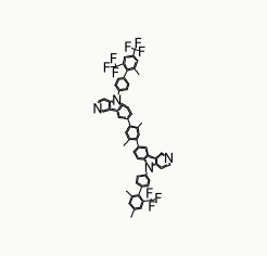 Cc1cc(C)c(-c2ccc(-n3c4ccncc4c4cc(-c5cc(C)c(-c6ccc7c(c6)c6cnccc6n7-c6ccc(-c7c(C)cc(C(F)(F)F)cc7C(F)(F)F)cc6)cc5C)ccc43)cc2)c(C(F)(F)F)c1